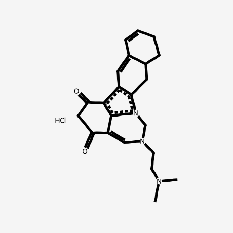 CN(C)CCN1C=C2C(=O)CC(=O)c3c4c(n(c32)C1)CC1CCC=CC1=C4.Cl